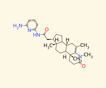 CC1=C2N(C)C(=O)CC[C@]2(C)[C@H]2CC[C@]3(C)[C@@H](CC(=O)Nc4cccc(N)n4)CC[C@H]3[C@@H]2C1